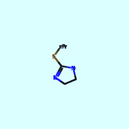 CCCSC1=NCC[N]1